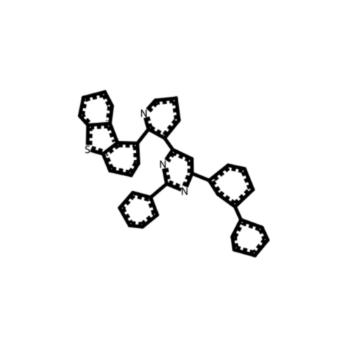 c1ccc(-c2cccc(-c3cc(-c4cccnc4-c4cccc5sc6ccccc6c45)nc(-c4ccccc4)n3)c2)cc1